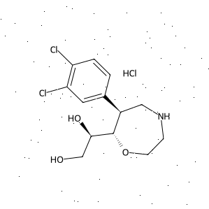 Cl.OC[C@@H](O)[C@H]1OCCNC[C@@H]1c1ccc(Cl)c(Cl)c1